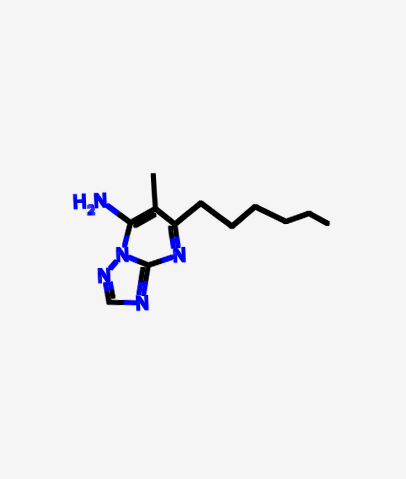 CCCCCCc1nc2ncnn2c(N)c1C